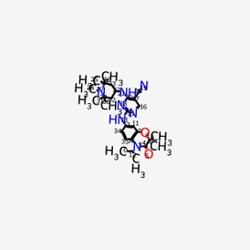 CC(C)N1C(=O)C(C)(C)Oc2cc(Nc3ncc(C#N)c(NC4CC(C)(C)N(C)C(C)(C)C4)n3)ccc21